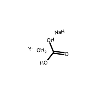 O.O=C(O)O.[NaH].[Y]